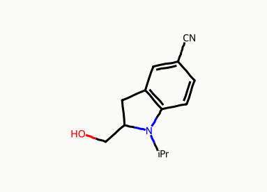 CC(C)N1c2ccc(C#N)cc2CC1CO